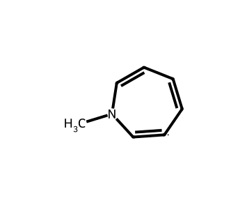 CN1C=[C]C=CC=C1